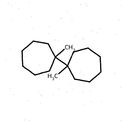 CC1(C2(C)CCCCCC2)CCCCCC1